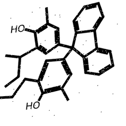 CCCCc1cc(C2(c3cc(C)c(O)c(C(C)CC)c3)c3ccccc3-c3ccccc32)cc(C)c1O